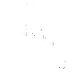 CNC(=O)c1nc(NC[C@H](N)Cc2ccc(C(F)(F)F)cc2)sc1-c1ccc2cnccc2c1